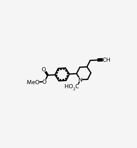 C#CCC1CCN(C(=O)O)C(c2ccc(C(=O)OOC)cc2)C1